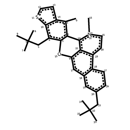 Cc1c2c(c(CC(C)(C)C)c3sccc13)Oc1cc3cc(CC(C)(C)C)ccc3c3cc[n+](C)c-2c13